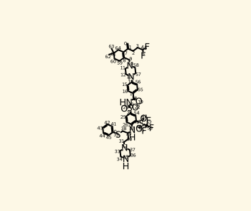 C=C(CCC(F)F)C1=C(CN2CCN(c3ccc(C(=O)NS(=O)(=O)c4ccc(NC(CCN5CCNCC5)CSc5ccccc5)c(S(=O)(=O)C(F)(F)F)c4)cc3)CC2)CCC(C)(C)C1